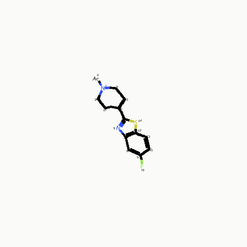 CC(=O)N1CCC(c2nc3cc(F)ccc3s2)CC1